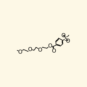 COCCOCCOCCOC(=O)c1ccc(S(C)(=O)=O)cc1